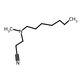 CCCCCCCN(C)CCC#N